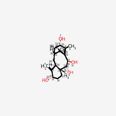 C=C1[C@H]2C[C@@H]3C[C@H](O)C(C)=C([C@@H](O)[C@H](O)[C@]2(C)CC[C@@H]1O)C3(C)C